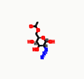 CC(=O)OCC1O[C@@H](O)[C@@H](N=[N+]=[N-])C(O)[C@@H]1O